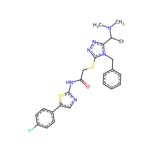 CCC(c1nnc(SCC(=O)Nc2ncc(-c3ccc(F)cc3)s2)n1Cc1ccccc1)N(C)C